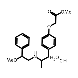 COC(=O)COc1ccc(CC(C)NCC(OC)c2ccccc2)cc1.Cl.O